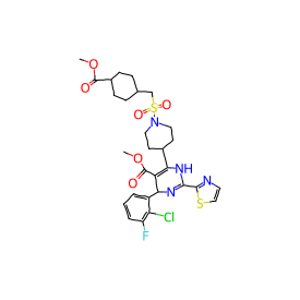 COC(=O)C1=C(C2CCN(S(=O)(=O)CC3CCC(C(=O)OC)CC3)CC2)NC(c2nccs2)=NC1c1cccc(F)c1Cl